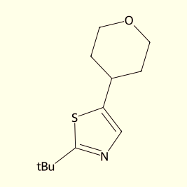 CC(C)(C)c1ncc(C2CCOCC2)s1